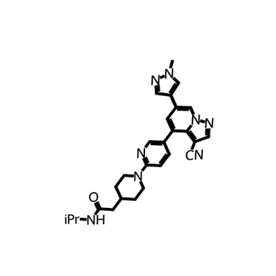 CC(C)NC(=O)CC1CCN(c2ccc(-c3cc(-c4cnn(C)c4)cn4ncc(C#N)c34)cn2)CC1